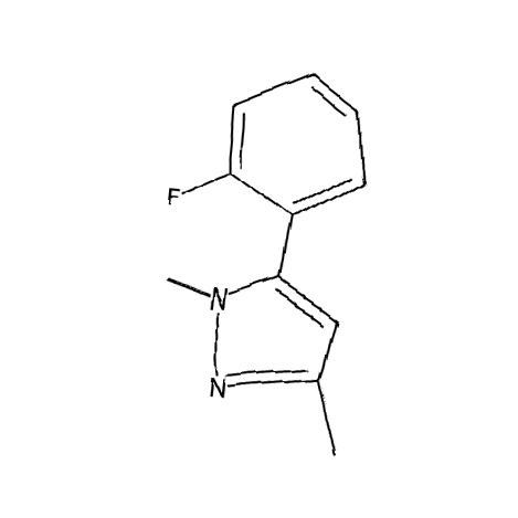 Cc1cc(-c2ccccc2F)n(C)n1